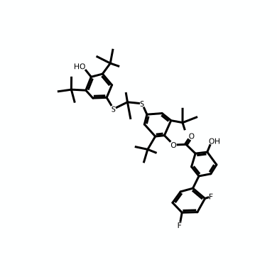 CC(C)(Sc1cc(C(C)(C)C)c(O)c(C(C)(C)C)c1)Sc1cc(C(C)(C)C)c(OC(=O)c2cc(-c3ccc(F)cc3F)ccc2O)c(C(C)(C)C)c1